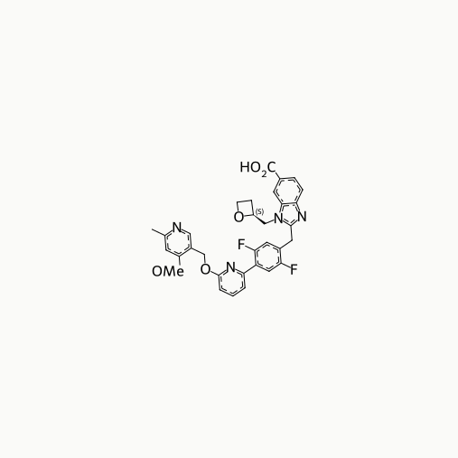 COc1cc(C)ncc1COc1cccc(-c2cc(F)c(Cc3nc4ccc(C(=O)O)cc4n3C[C@@H]3CCO3)cc2F)n1